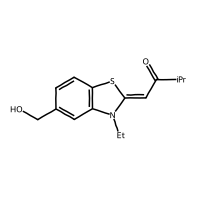 CCN1/C(=C/C(=O)C(C)C)Sc2ccc(CO)cc21